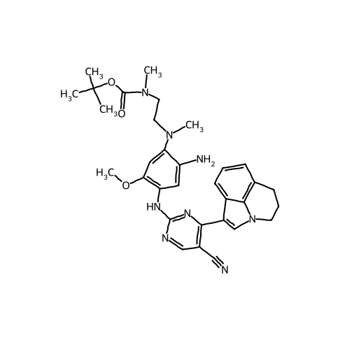 COc1cc(N(C)CCN(C)C(=O)OC(C)(C)C)c(N)cc1Nc1ncc(C#N)c(-c2cn3c4c(cccc24)CCC3)n1